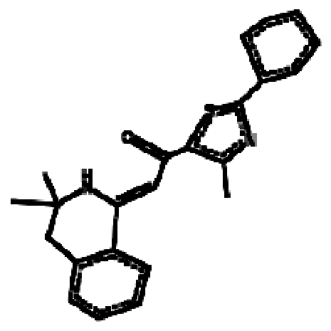 Cc1nc(-c2ccccc2)sc1C(=O)/C=C1\NC(C)(C)Cc2ccccc21